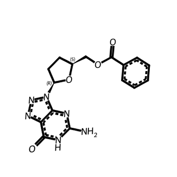 Nc1nc2c(nnn2[C@H]2CC[C@@H](COC(=O)c3ccccc3)O2)c(=O)[nH]1